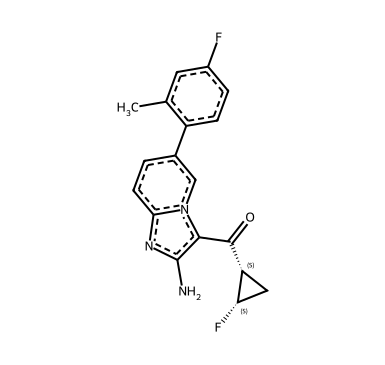 Cc1cc(F)ccc1-c1ccc2nc(N)c(C(=O)[C@@H]3C[C@@H]3F)n2c1